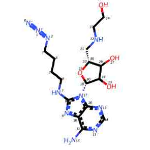 [N-]=[N+]=NCCCCNc1nc2c(N)ncnc2n1[C@@H]1O[C@H](CNCCO)C(O)C1O